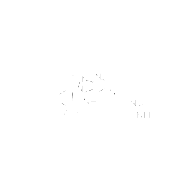 Cc1nc(N[C@H](C)c2cccc(C(F)(F)F)c2C)c2cc(N3CC4(CN(C(N)=O)C4)C3)cnc2n1